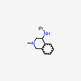 CC(C)NC1CN(C)Cc2ccccc21